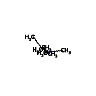 CCCCCCCCCCCCCCC(C)CN(C)CCCN(C)C/C=C(\C)CCCCCCCCCCCCC